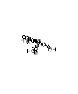 CBc1cc(C[C@@H](OC(=O)N2CCC(N3CCc4ccccc4NC3=O)CC2)C(=O)N2CCC(N3CCC(O)C3)CC2)cc(C)c1O